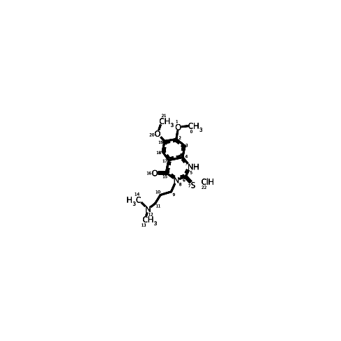 COc1cc2[nH]c(=S)n(CCCN(C)C)c(=O)c2cc1OC.Cl